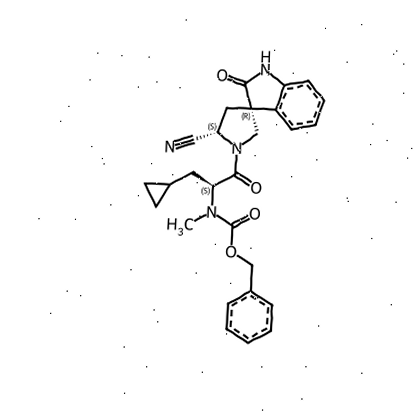 CN(C(=O)OCc1ccccc1)[C@@H](CC1CC1)C(=O)N1C[C@]2(C[C@H]1C#N)C(=O)Nc1ccccc12